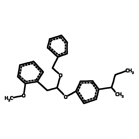 CCC(C)c1ccc(OC(Cc2ccccc2OC)OCc2ccccc2)cc1